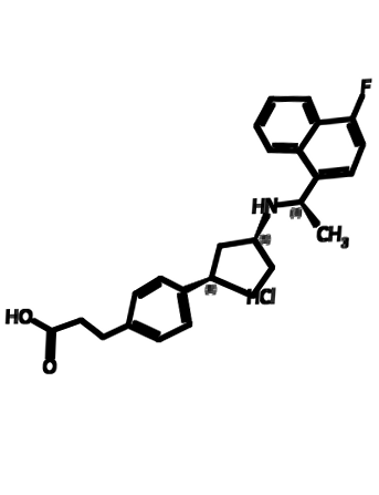 C[C@@H](N[C@H]1CC[C@@H](c2ccc(CCC(=O)O)cc2)C1)c1ccc(F)c2ccccc12.Cl